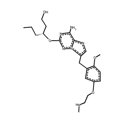 CCC[C@H](CCO)Oc1nc(N)c2ncc(Cc3cc(OCCNC)ccc3OC)n2n1